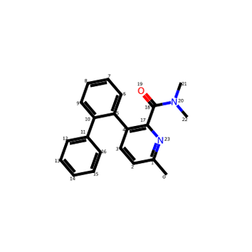 Cc1ccc(-c2ccccc2-c2ccccc2)c(C(=O)N(C)C)n1